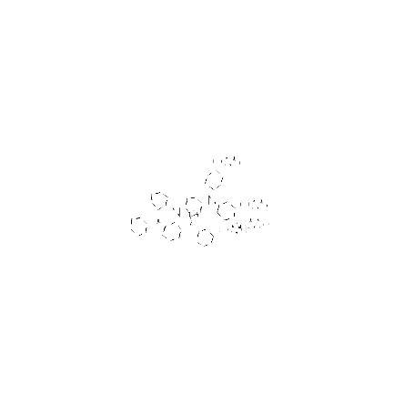 COc1ccc(N(c2ccc(N(c3ccccc3C(=O)c3ccccc3)c3ccccc3C(=O)c3ccccc3)cc2)c2cc(OC)c(OC)c(OC)c2)cc1